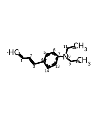 [CH]=C/C=C/c1ccc(N(CC)CC)cc1